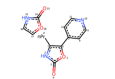 CCCc1[nH]c(=O)oc1-c1ccncc1.O=c1[nH]cco1